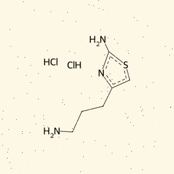 Cl.Cl.NCCCc1csc(N)n1